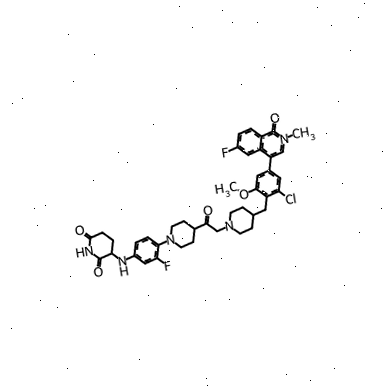 COc1cc(-c2cn(C)c(=O)c3ccc(F)cc23)cc(Cl)c1CC1CCN(CC(=O)C2CCN(c3ccc(NC4CCC(=O)NC4=O)cc3F)CC2)CC1